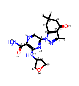 Cc1nn(-c2cnc(C(N)=O)c(NC3CCOC3)n2)c2c1C(=O)CC(C)(C)C2